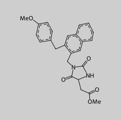 COC(=O)CC1NC(=O)N(Cc2cc3ccccc3cc2Cc2ccc(OC)cc2)C1=O